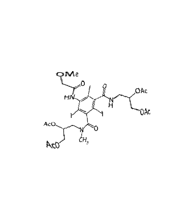 COCC(=O)Nc1c(I)c(C(=O)NCC(COC(C)=O)OC(C)=O)c(I)c(C(=O)N(C)CC(COC(C)=O)OC(C)=O)c1I